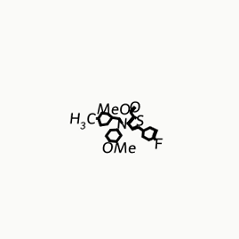 COC(=O)c1sc(C2CC=C(F)CC2)cc1N(CC1CCC(C)CC1)C1CCC(OC)CC1